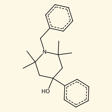 CC1(C)CC(O)(c2ccccc2)CC(C)(C)N1Cc1ccccc1